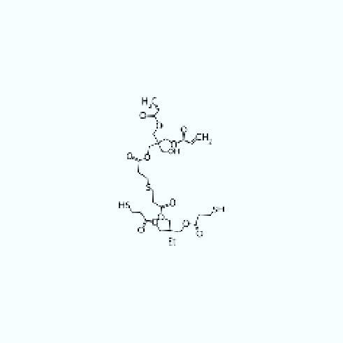 C=CC(=O)OCC(CO)(COC(=O)C=C)COC(=O)CCSCCC(=O)OCC(CC)(COC(=O)CCS)COC(=O)CCS